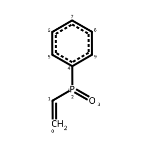 C=C[P](=O)c1ccccc1